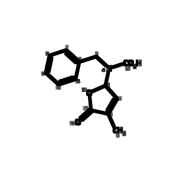 CC1=CC(N(Cc2ccccc2)C(=O)O)OC1=O